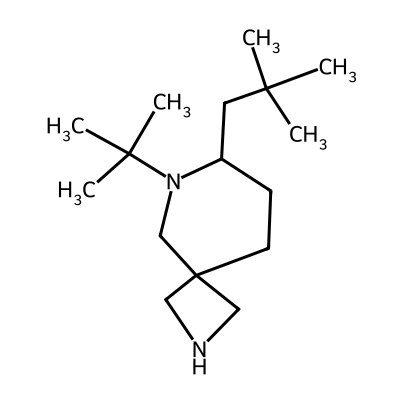 CC(C)(C)CC1CCC2(CNC2)CN1C(C)(C)C